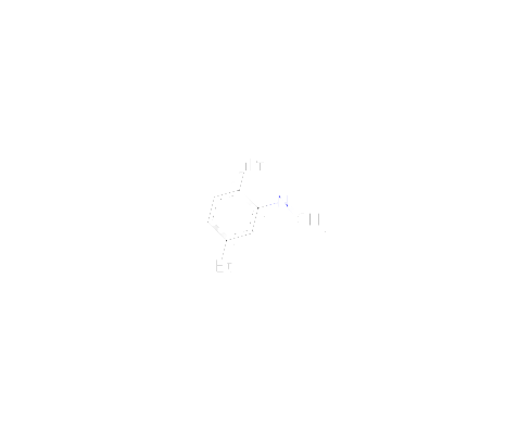 C=Nc1cc(CC)ccc1C(C)C